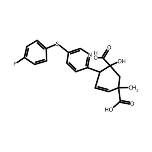 CC1(C(=O)O)C=CC(c2ccc(Sc3ccc(F)cc3)cn2)C(O)(C(=O)O)C1